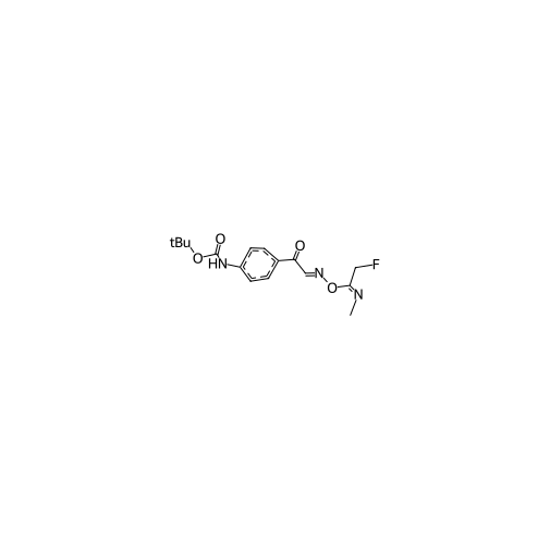 C/N=C(/CF)O/N=C/C(=O)c1ccc(NC(=O)OC(C)(C)C)cc1